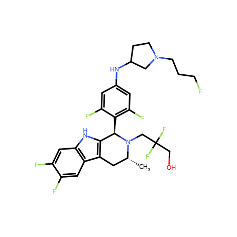 C[C@@H]1Cc2c([nH]c3cc(F)c(F)cc23)[C@@H](c2c(F)cc(NC3CCN(CCCF)C3)cc2F)N1CC(F)(F)CO